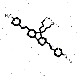 CCCCC1(CCCC)c2cc(/C=C/c3ccc(C)cc3)ccc2-c2ccc(/C=C/c3ccc(OP)cc3)cc21